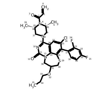 C=CC(=O)N1[C@H](C)CN(c2nc(=O)n3c4c(c(-c5ccc(F)cc5F)c(Cl)cc24)SCC(OCCC)C3)C[C@@H]1C